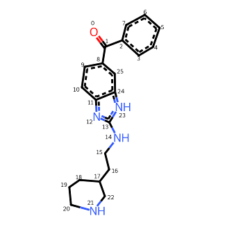 O=C(c1ccccc1)c1ccc2nc(NCCC3CCCNC3)[nH]c2c1